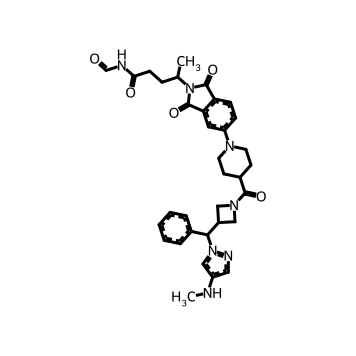 CNc1cnn(C(c2ccccc2)C2CN(C(=O)C3CCN(c4ccc5c(c4)C(=O)N(C(C)CCC(=O)NC=O)C5=O)CC3)C2)c1